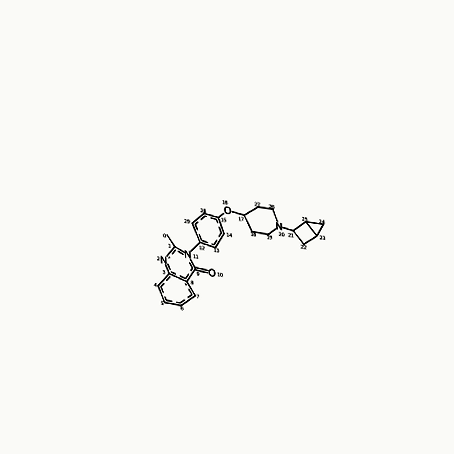 Cc1nc2ccccc2c(=O)n1-c1ccc(OC2CCN(C3CC4CC43)CC2)cc1